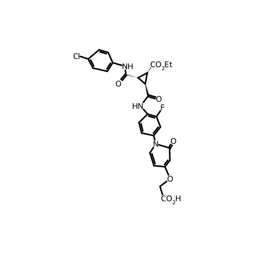 CCOC(=O)[C@H]1[C@@H](C(=O)Nc2ccc(Cl)cc2)[C@@H]1C(=O)Nc1ccc(-n2ccc(OCC(=O)O)cc2=O)cc1F